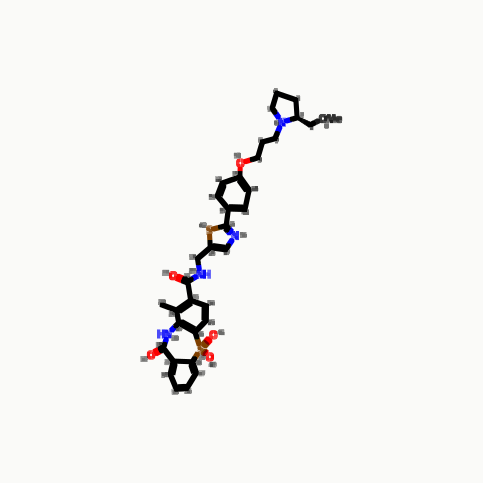 COC[C@@H]1CCCN1CCCOc1ccc(-c2ncc(CNC(=O)c3ccc4c(c3C)NC(=O)c3ccccc3S4(=O)=O)s2)cc1